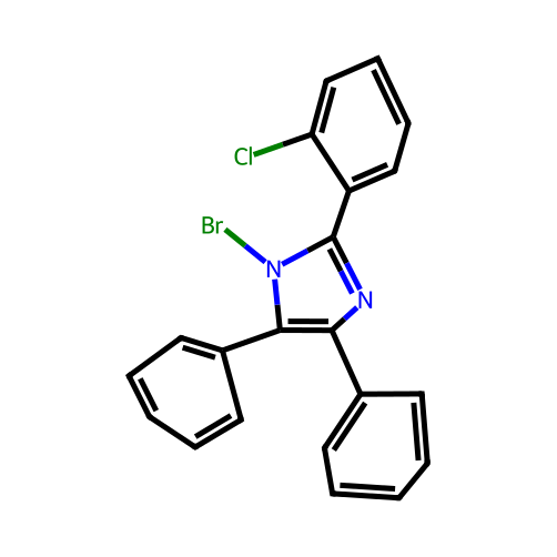 Clc1ccccc1-c1nc(-c2ccccc2)c(-c2ccccc2)n1Br